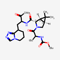 COC(=O)C(CC1CCCn2cnnc21)NC(=O)[C@@H]1[C@@H]2[C@H](CN1C(=O)C(NC(=O)OC(C)(C)C)C(C)(C)C)C2(C)C